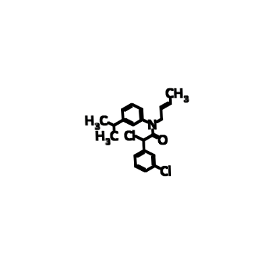 C/C=C/CN(C(=O)C(Cl)c1cccc(Cl)c1)c1cccc(C(C)C)c1